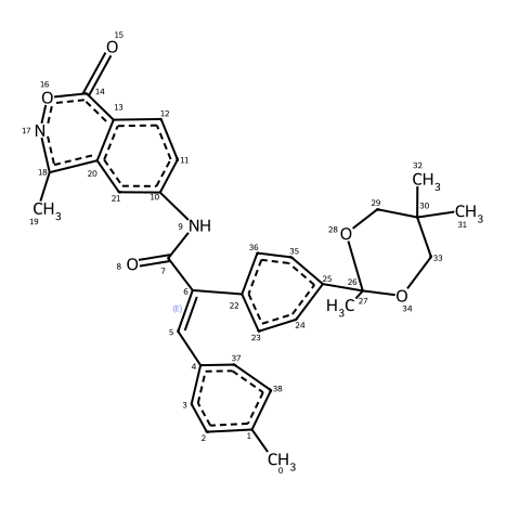 Cc1ccc(/C=C(/C(=O)Nc2ccc3c(=O)onc(C)c3c2)c2ccc(C3(C)OCC(C)(C)CO3)cc2)cc1